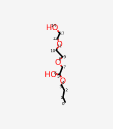 CCCCOC(O)COCCOCCO